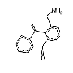 C=C1c2ccccc2C(=O)c2cccc(CN)c21